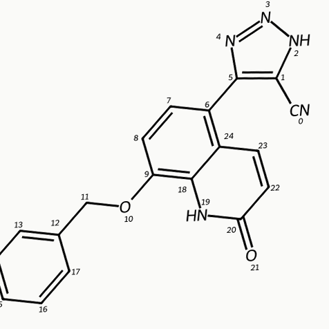 N#Cc1[nH]nnc1-c1ccc(OCc2ccccc2)c2[nH]c(=O)ccc12